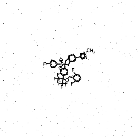 Cn1cc(-c2ccc3c(c2)CC(c2ccc(C(OCc4c(F)cccc4F)(C(F)(F)F)C(F)(F)F)cc2)(S(=O)(=O)c2ccc(F)cc2)C3)cn1